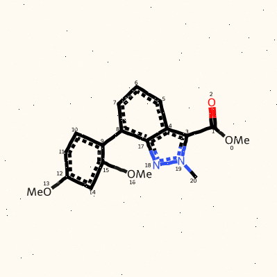 COC(=O)c1c2cccc(-c3ccc(OC)cc3OC)c2nn1C